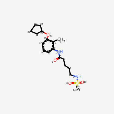 Cc1c(NC(=O)CCCCNS(=O)(=O)C(C)C)cccc1OC1CCCC1